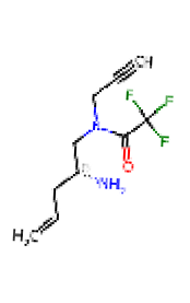 C#CCN(C[C@H](N)CC=C)C(=O)C(F)(F)F